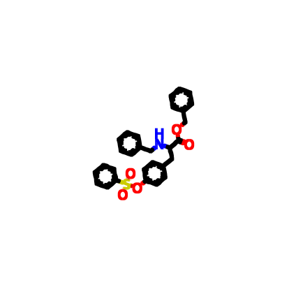 O=C(OCc1ccccc1)C(Cc1ccc(OS(=O)(=O)c2ccccc2)cc1)NCc1ccccc1